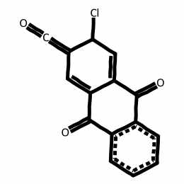 O=C=C1C=C2C(=O)c3ccccc3C(=O)C2=CC1Cl